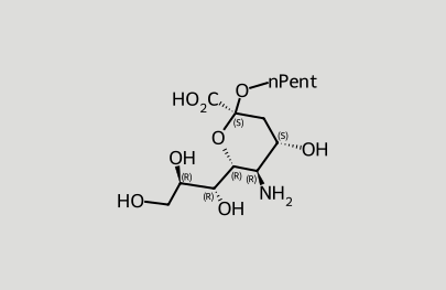 CCCCCO[C@@]1(C(=O)O)C[C@H](O)[C@@H](N)[C@H]([C@H](O)[C@H](O)CO)O1